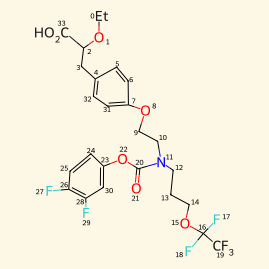 CCOC(Cc1ccc(OCCN(CCCOC(F)(F)C(F)(F)F)C(=O)Oc2ccc(F)c(F)c2)cc1)C(=O)O